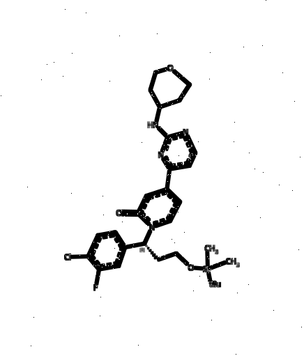 CC(C)(C)[Si](C)(C)OCC[C@H](c1ccc(Cl)c(F)c1)n1ccc(-c2ccnc(NC3CCOCC3)n2)cc1=O